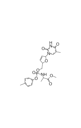 COC(=O)C(C)NP(=O)(OCC1C=CC(n2cc(C)c(=O)[nH]c2=O)O1)Oc1ccc(C)cc1